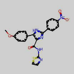 COc1ccc(-c2[nH]c(-c3ccc([N+](=O)[O-])cc3)nc2C(=O)Nc2nccs2)cc1